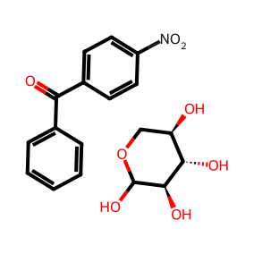 O=C(c1ccccc1)c1ccc([N+](=O)[O-])cc1.OC1OC[C@@H](O)[C@H](O)[C@H]1O